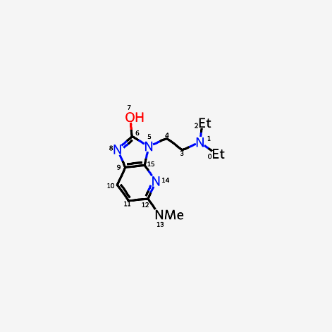 CCN(CC)CCn1c(O)nc2ccc(NC)nc21